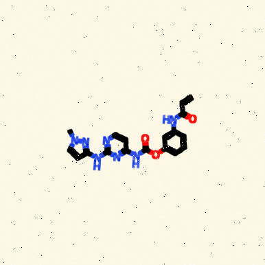 C=CC(=O)Nc1cccc(OC(=O)Nc2ccnc(Nc3ccn(C)n3)n2)c1